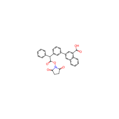 O=C(O)c1cc(-c2cccc(C(C(=O)ON3C(=O)CCC3=O)c3ccccc3)c2)cc2ccccc12